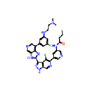 CCCC(=O)Nc1cncc(-c2ncc3[nH]nc(-c4nc5c(-c6cc(F)cc(NCCN(C)C)c6)cncc5[nH]4)c3c2F)c1